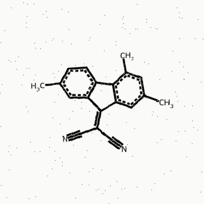 Cc1ccc2c(c1)C(=C(C#N)C#N)c1cc(C)cc(C)c1-2